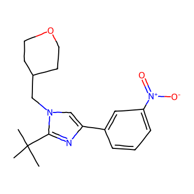 CC(C)(C)c1nc(-c2cccc([N+](=O)[O-])c2)cn1CC1CCOCC1